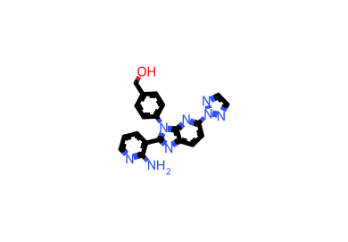 Nc1ncccc1-c1nc2ccc(-n3nccn3)nc2n1-c1ccc(CO)cc1